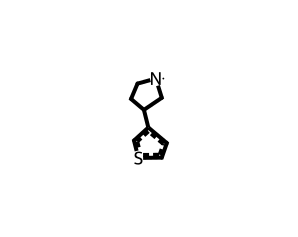 c1cc(C2CC[N]C2)cs1